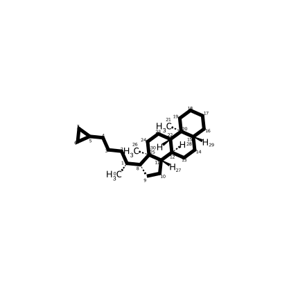 C[C@H](CCCC1CC1)[C@H]1CC[C@H]2[C@@H]3CC[C@H]4CCCC[C@]4(C)[C@H]3CC[C@]12C